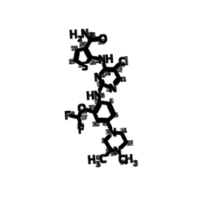 C[C@H]1CN(c2ccc(Nc3ncc(Cl)c(Nc4sccc4C(N)=O)n3)c(OC(F)F)c2)CCN1C